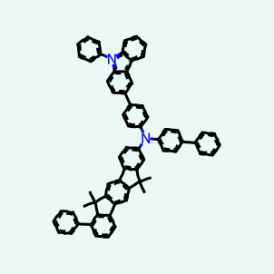 CC1(C)c2cc(N(c3ccc(-c4ccccc4)cc3)c3ccc(-c4ccc5c(c4)c4ccccc4n5-c4ccccc4)cc3)ccc2-c2cc3c(cc21)-c1cccc(-c2ccccc2)c1C3(C)C